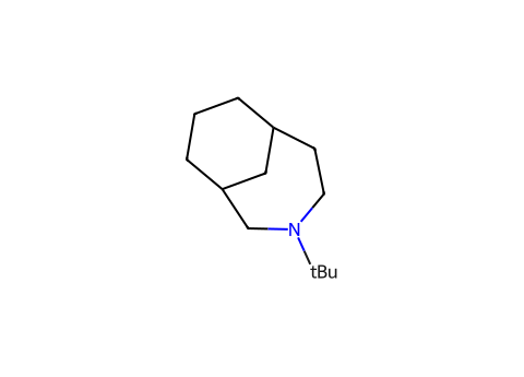 CC(C)(C)N1CCC2CCCC(C2)C1